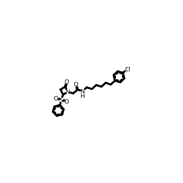 O=C(CN1C(=O)CC1S(=O)(=O)c1ccccc1)NCCCCCCc1ccc(Cl)cc1